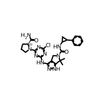 CC1(C)c2[nH]nc(Nc3nc(Cl)nc(N4CCC[C@H]4C(N)=O)n3)c2CN1C(=O)NC1CC1c1ccccc1